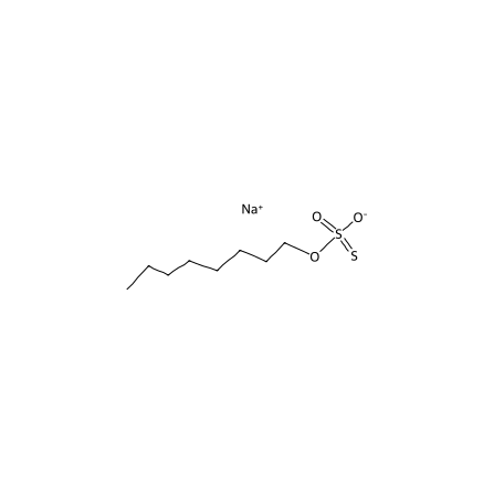 CCCCCCCCOS(=O)([O-])=S.[Na+]